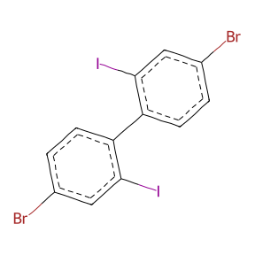 Brc1ccc(-c2ccc(Br)cc2I)c(I)c1